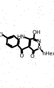 CCCCCCn1nc(O)c2[nH]c3cc(Cl)ccc3c(=O)c2c1=O